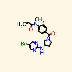 C=CC(=O)N(C)c1ccc(C(=O)N2CC[C@H](Nc3ncc(Br)cn3)C2)cc1